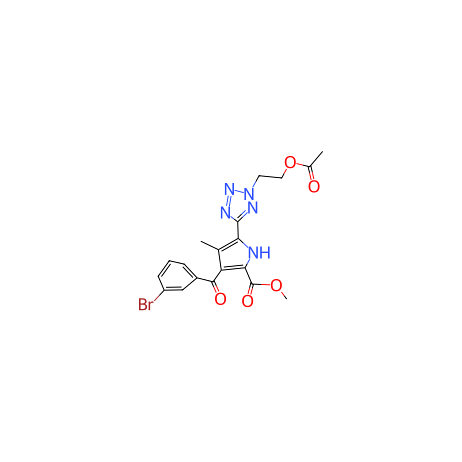 COC(=O)c1[nH]c(-c2nnn(CCOC(C)=O)n2)c(C)c1C(=O)c1cccc(Br)c1